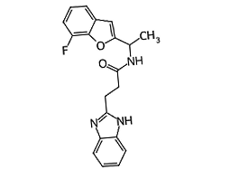 CC(NC(=O)CCc1nc2ccccc2[nH]1)c1cc2cccc(F)c2o1